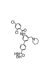 O=C(NO)c1ccc(-c2cc(CN3CCCCC3)cc(NC(=O)c3ccc(Cl)cc3Cl)c2)cc1